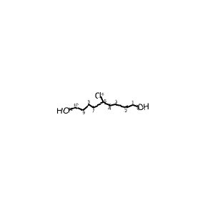 OCCCCC(Cl)CCCCO